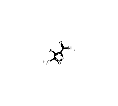 Cc1onc(C(N)=O)c1Br